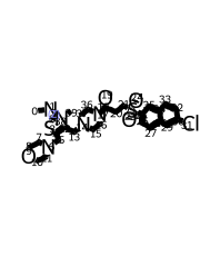 C/N=c1\sc(CN2CCOCC2)c(CN2CCN(C(=O)CCS(=O)(=O)c3ccc4cc(Cl)ccc4c3)CC2)n1C